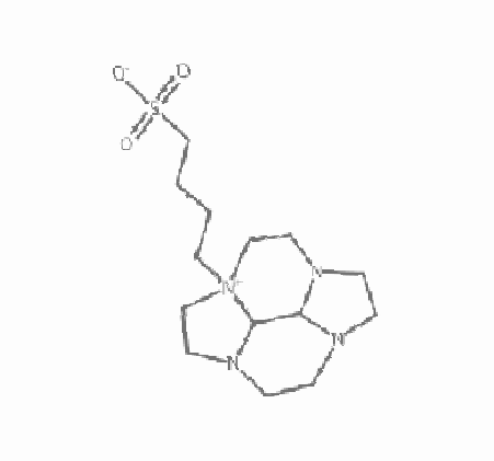 O=S(=O)([O-])CCCC[N+]12CCN3CCN4CCN(CC1)C2C43